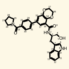 O=C(N[C@@H](CO)Cc1c[nH]c2ccccc12)c1cc(-c2ccc(C(=O)N3CCCC3)cc2)cc2c1OCCO2